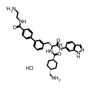 Cl.NCCNC(=O)c1ccc(-c2cccc(C[C@H](NC(=O)[C@H]3CC[C@H](CN)CC3)C(=O)Nc3ccc4cn[nH]c4c3)c2)cc1